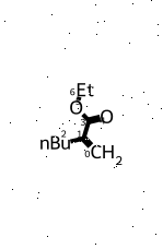 C=C(CCCC)C(=O)OCC